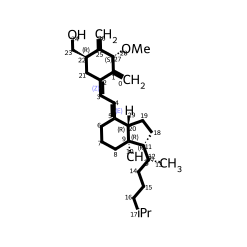 C=C1/C(=C\C=C2/CCC[C@]3(C)[C@@H]([C@H](C)CCCC(C)C)CC[C@@H]23)C[C@@H](CO)C(=C)[C@@H]1OC